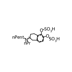 CCCCCN(CCC)[C@H]1CCc2c(ccc(OS(=O)(=O)O)c2OS(=O)(=O)O)C1